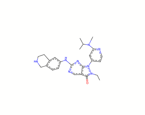 CCn1c(=O)c2cnc(Nc3ccc4c(c3)CCNC4)nc2n1-c1ccnc(N(C)C(C)C)c1